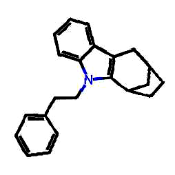 c1ccc(CCn2c3c(c4ccccc42)CC2CCC3C2)cc1